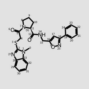 Cn1c(SCC(=O)N2CCC[C@H]2C(=O)NCc2cc(-c3ccccc3)no2)nc2ccccc21